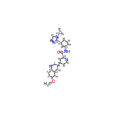 COc1ccc2ncc(-c3ccnc(C(=O)Nc4cccc(-c5nncn5C5CC5)c4)c3)cc2c1